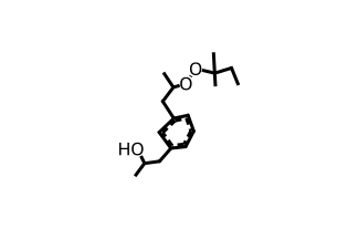 CCC(C)(C)OOC(C)Cc1cccc(CC(C)O)c1